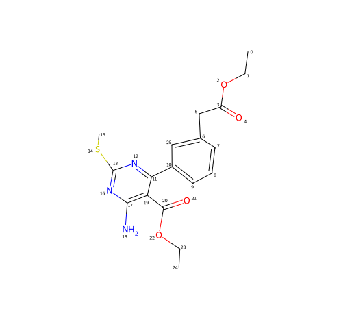 CCOC(=O)Cc1cccc(-c2nc(SC)nc(N)c2C(=O)OCC)c1